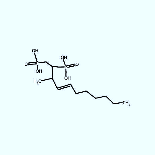 CCCCCCC=CC(C)C(CP(=O)(O)O)P(=O)(O)O